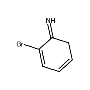 N=C1CC=CC=C1Br